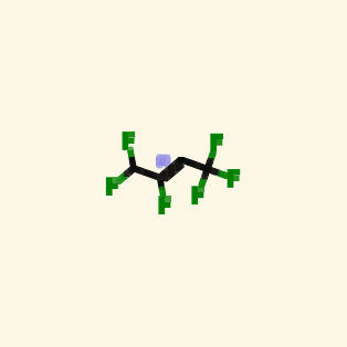 F/C(=C\C(F)(F)F)C(F)F